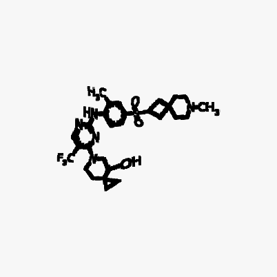 Cc1cc(S(=O)(=O)C2CC3(CCN(C)CC3)C2)ccc1Nc1ncc(C(F)(F)F)c(N2CCC3(CC3)C(O)C2)n1